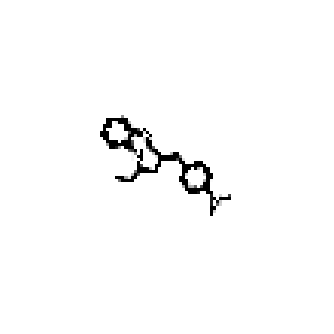 CCC1CC(=Cc2ccc(N(C)C)cc2)c2sc3ccccc3[n+]21